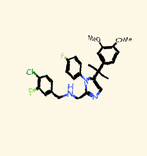 COc1ccc(C(C)(C)c2cnc(CNCc3ccc(Cl)c(F)c3)n2-c2ccc(F)cc2)cc1OC